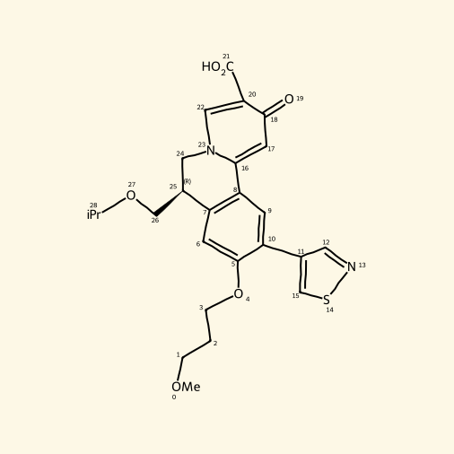 COCCCOc1cc2c(cc1-c1cnsc1)-c1cc(=O)c(C(=O)O)cn1C[C@@H]2COC(C)C